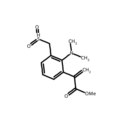 C=C(C(=O)OC)c1cccc(C[SH](=O)=O)c1N(C)C